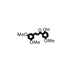 COc1cc(/C=C/C(=O)c2cc(OC)ccc2O)cc(OC)c1